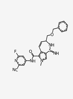 Cn1cc2c(c1C(=O)Nc1cc(F)nc(C#N)c1)C=CC(COCc1ccccc1)NS2=N